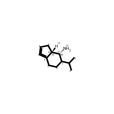 CC(C)C1CCC2=C=CC[C@@H]2[C@@H]1N